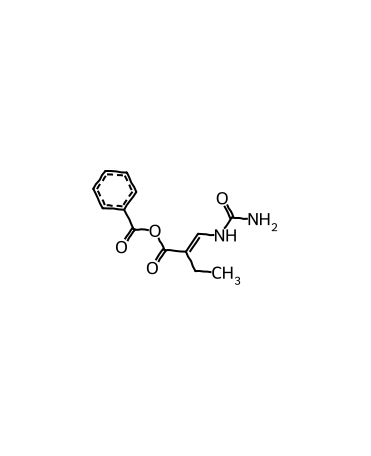 CCC(=CNC(N)=O)C(=O)OC(=O)c1ccccc1